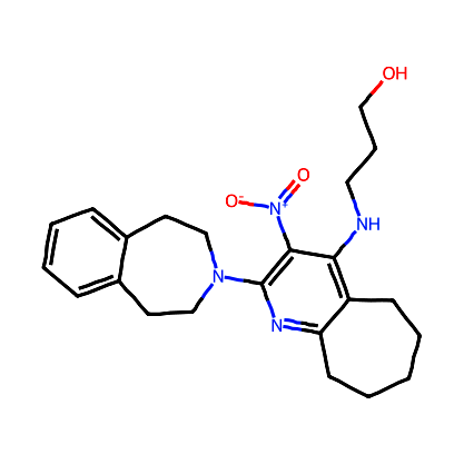 O=[N+]([O-])c1c(N2CCc3ccccc3CC2)nc2c(c1NCCCO)CCCCC2